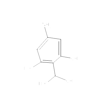 Cc1cc(N)cc(C)c1C(C)C